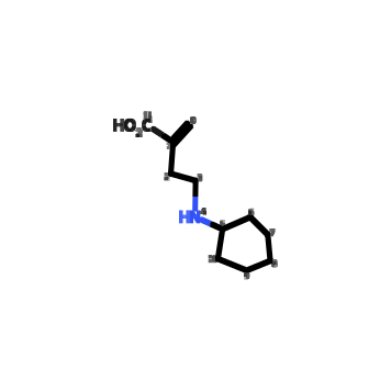 C=C(CCNC1CCCCC1)C(=O)O